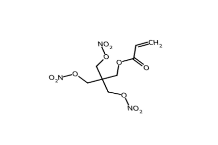 C=CC(=O)OCC(CO[N+](=O)[O-])(CO[N+](=O)[O-])CO[N+](=O)[O-]